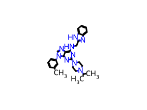 Cc1cccc(-n2cnc3c(NCc4nc5ccccc5[nH]4)nc(N4CCN(C(C)C)CC4)nc32)c1